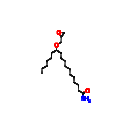 CCCCCCC(CCCCCCCCCCC(N)=O)OCC1CO1